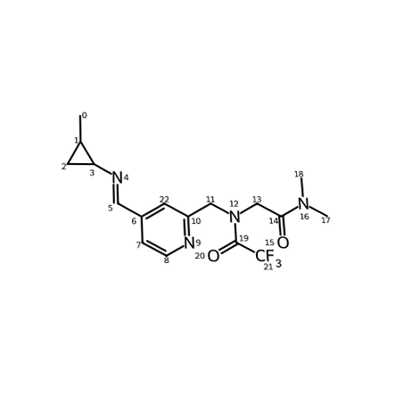 CC1CC1N=Cc1ccnc(CN(CC(=O)N(C)C)C(=O)C(F)(F)F)c1